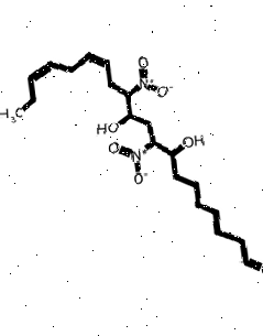 CC/C=C\C/C=C\CC(C(O)CC(C(O)CCCCCC[C]=O)[N+](=O)[O-])[N+](=O)[O-]